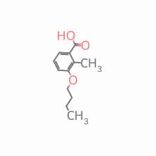 CCCCOc1cccc(C(=O)O)c1C